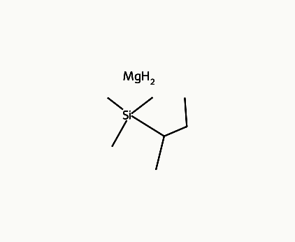 CCC(C)[Si](C)(C)C.[MgH2]